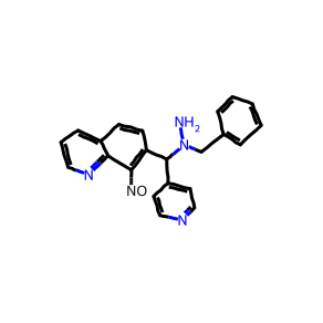 NN(Cc1ccccc1)C(c1ccncc1)c1ccc2cccnc2c1N=O